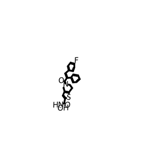 O=C(NO)c1cc2c(s1)CCN(C(=O)C(=Cc1ccc(F)cc1)c1ccccc1)C2